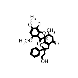 COc1cc(OC)c2c(c1Cl)O[C@]1(C2=O)C2=C(C[C@](CCO)(c3ccccc3)O2)C(=O)C[C@H]1C